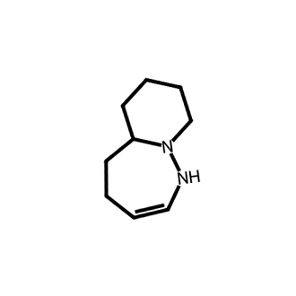 C1=CNN2CCCCC2CC1